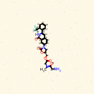 CN(CC(=O)OC[C@@H]1CN(c2ccc3cc(-c4ccccc4C(F)(F)F)[nH]c(=O)c3c2)C(=O)O1)C(=O)CN